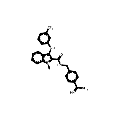 Cn1c(C(=O)NCc2ccc(C(=N)N)cc2)c(Nc2cccc(C(F)(F)F)c2)c2ccccc21